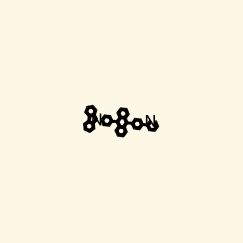 c1ccc(-c2ccc(-c3c4ccccc4c(-c4ccc(-n5c6ccccc6c6ccccc65)cc4)c4ccccc34)cc2)nc1